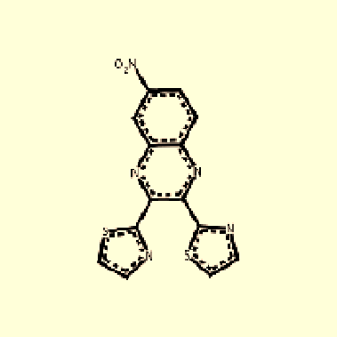 O=[N+]([O-])c1ccc2nc(-c3nccs3)c(-c3nccs3)nc2c1